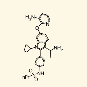 CCCS(=O)(=O)Nc1ccc(-c2c(C(N)I)c3ccc(Oc4ncccc4N)cc3n2C2CCC2)cc1